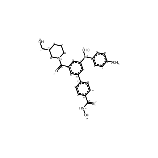 Cc1ccc(N(C=O)c2cc(C(=O)N3CCC[C@H](CO)C3)cc(-c3ccc(C(=O)NO)cc3)c2)cc1